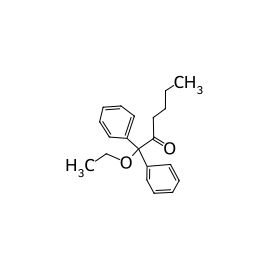 CCCCC(=O)C(OCC)(c1ccccc1)c1ccccc1